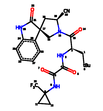 CC(C)(C)C[C@H](NC(=O)C(=O)NC1(C(F)(F)F)CC1)C(=O)N1C[C@]2(C[C@H]1C#N)C(=O)Nc1ccccc12